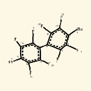 CCC(C)c1c(F)c(F)c(-c2c(F)c(F)c(C(C)C)c(F)c2F)c(F)c1F